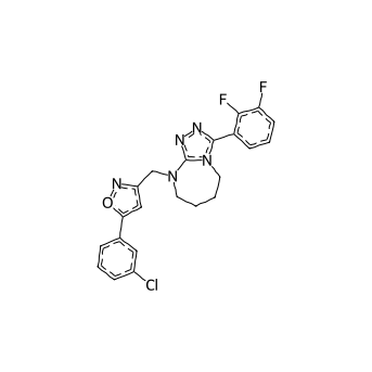 Fc1cccc(-c2nnc3n2CCCCN3Cc2cc(-c3cccc(Cl)c3)on2)c1F